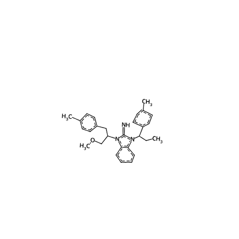 CCC(c1ccc(C)cc1)n1c(=N)n(C(COC)Cc2ccc(C)cc2)c2ccccc21